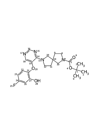 CC(C)(C)OC(=O)N1CCC2(CCN(c3ncncc3Oc3ccc(F)cc3O)C2)C1